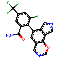 NC(=O)c1cc(C(F)(F)F)cc(F)c1-c1cc2cncoc2c2cncc12